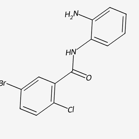 Nc1ccccc1NC(=O)c1cc(Br)ccc1Cl